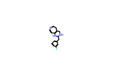 Fc1cccc(CC2NCC3=C(C=CN=CC3)N2)c1